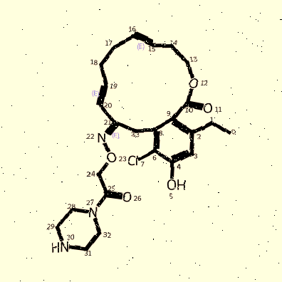 CCc1cc(O)c(Cl)c2c1C(=O)OCC/C=C/CC/C=C/C(=N/OCC(=O)N1CCNCC1)C2